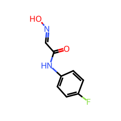 O=C(/C=N/O)Nc1ccc(F)cc1